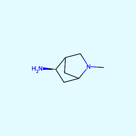 CN1CC2CC1C[C@H]2N